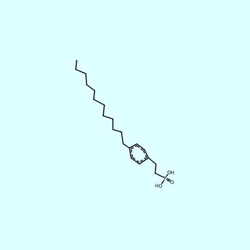 CCCCCCCCCCCCc1ccc(CCP(=O)(O)O)cc1